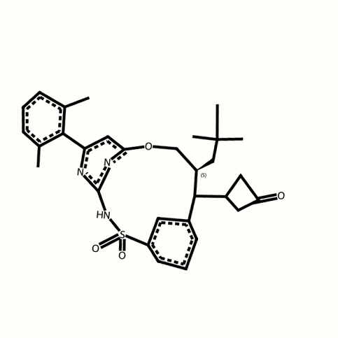 Cc1cccc(C)c1-c1cc2nc(n1)NS(=O)(=O)c1cccc(c1)C(C1CC(=O)C1)[C@H](CC(C)(C)C)CO2